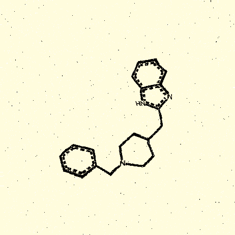 c1ccc(CN2CCC(Cc3nc4ccccc4[nH]3)CC2)cc1